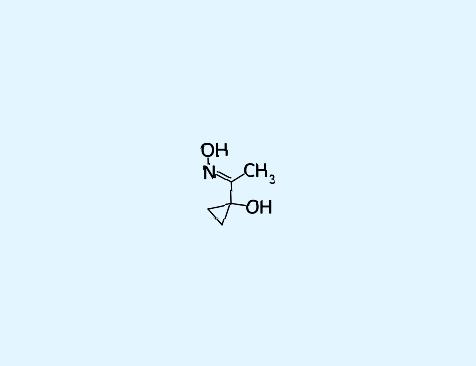 CC(=NO)C1(O)CC1